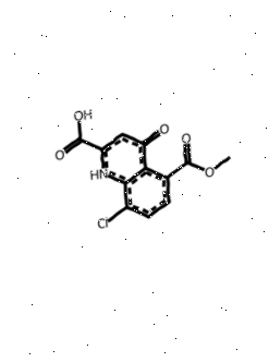 COC(=O)c1ccc(Cl)c2[nH]c(C(=O)O)cc(=O)c12